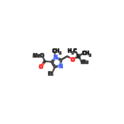 CCc1nc(CO[Si](C)(C)C(C)(C)C)n(C)c1C(=O)OC